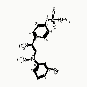 N/C(=C\N(N)c1cccc(Br)c1)c1ccc(OS(N)(=O)=O)cc1